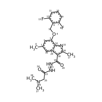 Cc1cc(OCc2c(F)cccc2F)c2nc(C)c(C(=O)NNC(=O)CN(C)C)n2c1